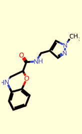 Cn1cc(CNC(=O)C2CNc3ccccc3O2)cn1